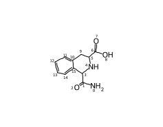 NC(=O)C1NC(C(=O)O)Cc2ccccc21